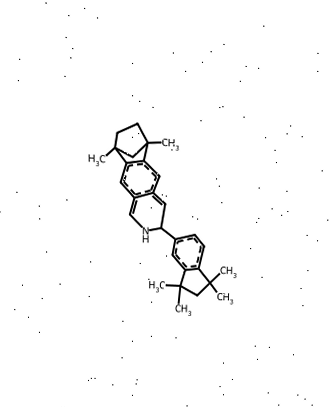 CC1(C)CC(C)(C)c2cc(C3C=c4cc5c(cc4=CN3)C3(C)CCC5(C)C3)ccc21